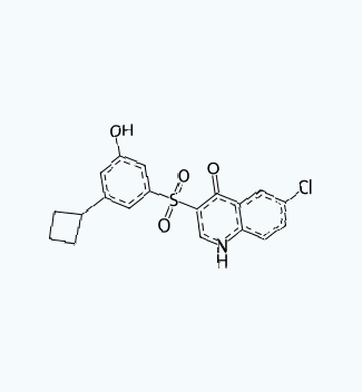 O=c1c(S(=O)(=O)c2cc(O)cc(C3CCC3)c2)c[nH]c2ccc(Cl)cc12